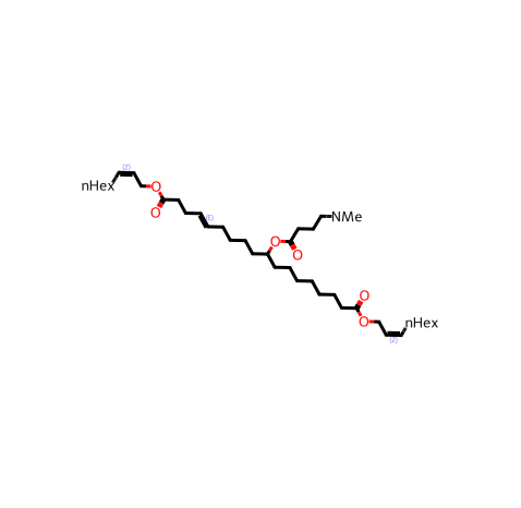 CCCCCC/C=C\COC(=O)CC/C=C/CCCCC(CCCCCCCC(=O)OC/C=C\CCCCCC)OC(=O)CCCNC